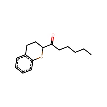 CCCCCC(=O)C1CCc2ccccc2S1